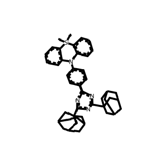 C[Si]1(C)c2ccccc2N(c2ccc(-c3nc(C45CC6CC(CC(C6)C4)C5)nc(C45CC6CC(CC(C6)C4)C5)n3)cc2)c2ccccc21